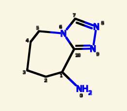 NC1CCCCn2cnnc21